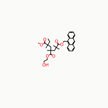 CCC(C)(CC(C)(CC(C)(C)C(=O)OCc1c2ccccc2cc2ccccc12)C(=O)OCCO)C(=O)OC